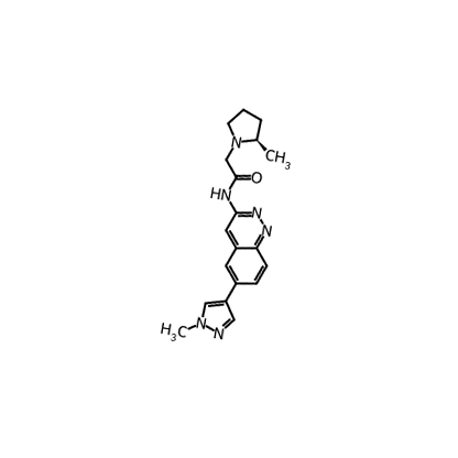 C[C@@H]1CCCN1CC(=O)Nc1cc2cc(-c3cnn(C)c3)ccc2nn1